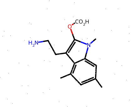 Cc1cc(C)c2c(CCN)c(OC(=O)O)n(C)c2c1